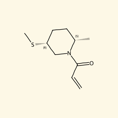 C=CC(=O)N1C[C@H](SC)CC[C@@H]1C